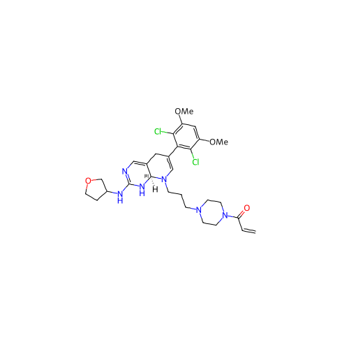 C=CC(=O)N1CCN(CCCN2C=C(c3c(Cl)c(OC)cc(OC)c3Cl)CC3=CN=C(NC4CCOC4)N[C@@H]32)CC1